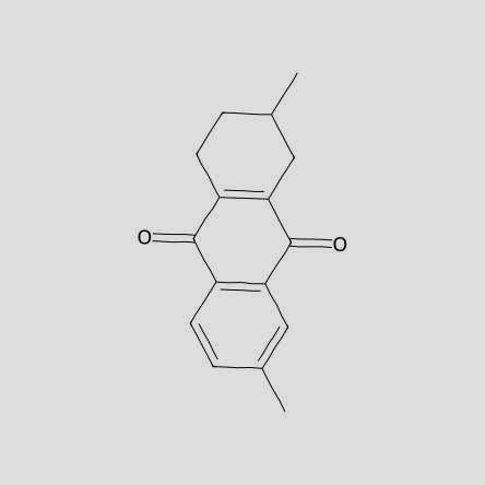 Cc1ccc2c(c1)C(=O)C1=C(CCC(C)C1)C2=O